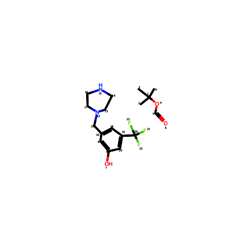 CC(C)(C)OC=O.Oc1cc(CN2CCNCC2)cc(C(F)(F)F)c1